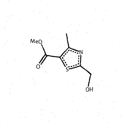 COC(=O)c1sc(CO)nc1C